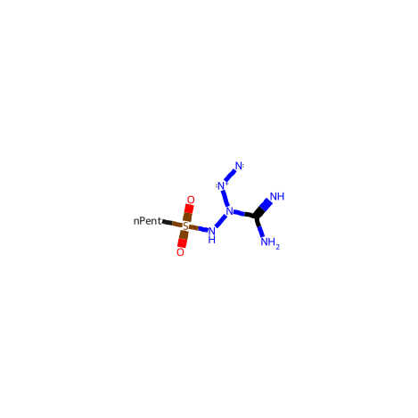 CCCCCS(=O)(=O)NN([N+][N])C(=N)N